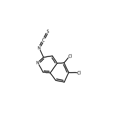 S=C=Nc1cc2c(Cl)c(Cl)ccc2cn1